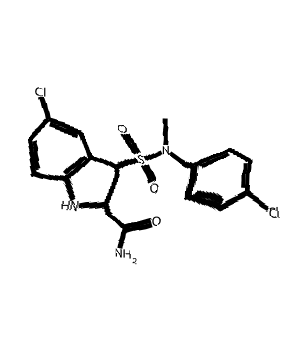 CN(c1ccc(Cl)cc1)S(=O)(=O)C1c2cc(Cl)ccc2NC1C(N)=O